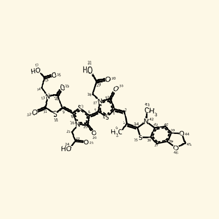 C/C(C=c1s/c(=c2/s/c(=C3/SC(=O)N(CC(=O)O)C3=O)n(CC(=O)O)c2=O)n(CC(=O)O)c1=O)=C1\Sc2cc3c(cc2N1C)OCO3